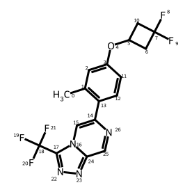 Cc1cc(OC2CC(F)(F)C2)ccc1-c1cn2c(C(F)(F)F)nnc2cn1